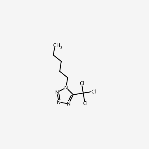 CCCCCn1nnnc1C(Cl)(Cl)Cl